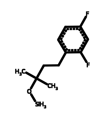 CC(C)(CCc1ccc(F)cc1F)O[SiH3]